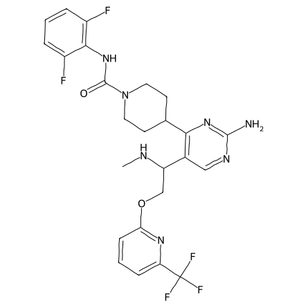 CNC(COc1cccc(C(F)(F)F)n1)c1cnc(N)nc1C1CCN(C(=O)Nc2c(F)cccc2F)CC1